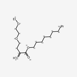 C=C(CCOCCOCC)C(=O)OCCCCCCCC(C)C